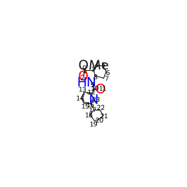 COC(=O)C1CCCCC1NC(=O)c1cccc(C2CCCCC2)n1